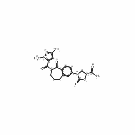 Cc1cc(C(=O)[C@@H]2CCCc3cc(N4C[C@@H](C(N)=O)OC4=O)ccc3C2=O)n(C)n1